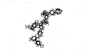 CC1(C)CCC(CN2CCN(c3ccc(C(=O)NS(=O)(=O)c4ccc(NC5CCC(N6CCOCC6)CC5)c([N+](=O)[O-])c4)c(Oc4cc5cc[nH]c5cc4Cl)c3)CC2)=C(c2ccc(Cl)cc2)C1